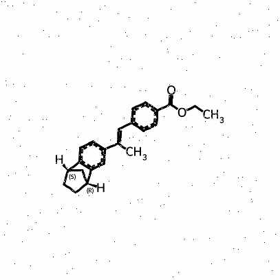 CCOC(=O)c1ccc(C=C(C)c2ccc3c(c2)[C@@H]2CC[C@H]3C2)cc1